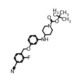 CC(C)(C)OC(=O)N1CCC(Nc2cccc(OCc3ccc(C#N)cc3F)c2)CC1